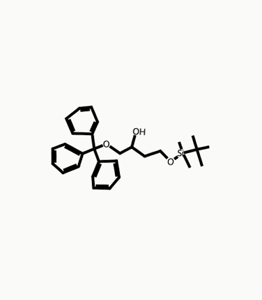 CC(C)(C)[Si](C)(C)OCCC(O)COC(c1ccccc1)(c1ccccc1)c1ccccc1